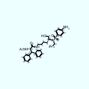 CC(=O)N[C@H](C(=O)NCCCC[C@@H](CO)N(CC(C)C)S(=O)(=O)c1ccc(N)cc1)C(c1ccccc1)c1ccccc1